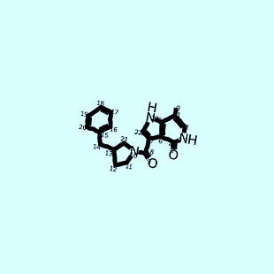 Cc1c[nH]c(=O)c2c(C(=O)N3CCC(Cc4ccccc4)C3)c[nH]c12